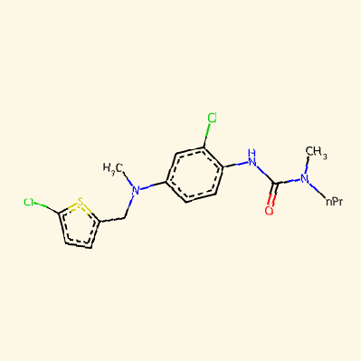 CCCN(C)C(=O)Nc1ccc(N(C)Cc2ccc(Cl)s2)cc1Cl